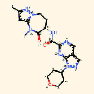 Cc1cc2n(n1)CC[C@H](NC(=O)c1ncc3cnn(C4CCOCC4)c3n1)C(=O)N2C